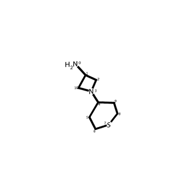 NC1CN(C2CCSCC2)C1